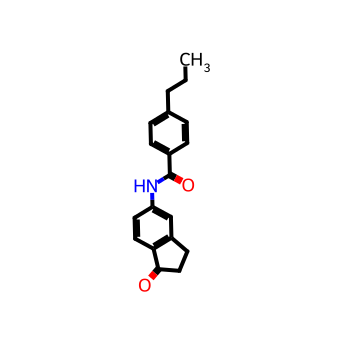 CCCc1ccc(C(=O)Nc2ccc3c(c2)CCC3=O)cc1